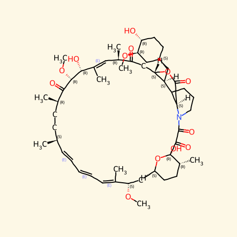 CO[C@H]1C[C@@H]2CC[C@@H](C)[C@@](O)(O2)C(=O)C(=O)N2CCCC3[C@H]2C(=O)O[C@@H](CC(=O)[C@H](C)/C=C(\C)[C@@H](O)[C@@H](OC)C(=O)[C@H](C)CC[C@H](C)/C=C/C=C/C=C/1C)[C@H]3C[C@@H]1CC[C@@H](O)[C@H](OC)C1